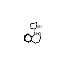 c1ccc2c(c1)CCCON2[C@@H]1CCCN1